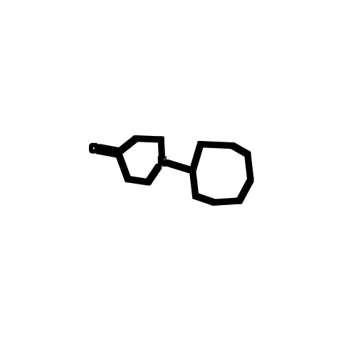 O=C1CCN(C2CCCCCCC2)CC1